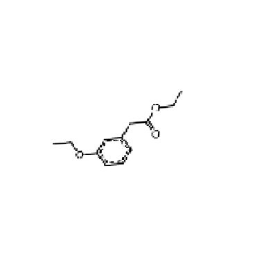 CCOC(=O)Cc1cccc(OCC)c1